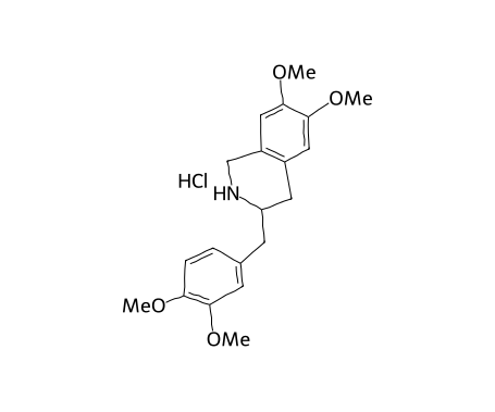 COc1ccc(CC2Cc3cc(OC)c(OC)cc3CN2)cc1OC.Cl